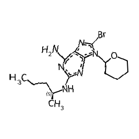 CCC[C@H](C)Nc1nc(N)c2nc(Br)n(C3CCCCO3)c2n1